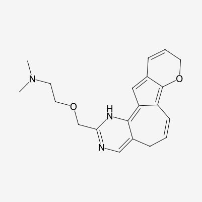 CN(C)CCOCC1=NC=C2CC=CC3=C4OCC=CC4=CC3=C2N1